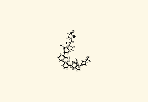 COc1nc(-c2cccc(-c3cccc(-c4cc5c(c(OC)n4)C(N4CC(C(C)=O)C4)CC5)c3Cl)c2Cl)cc2c1C(NCC1CCC(=O)N1)CC2